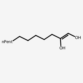 CCCCCCCCCCC(O)=CO